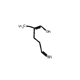 CC(=CO)CCC=N